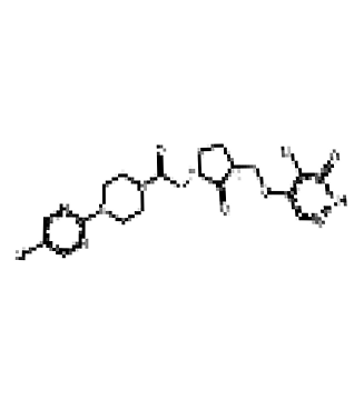 O=C1[C@H](COc2cn[nH]c(=O)c2Cl)CC[C@H]1CC(=O)N1CCN(c2ncc(Cl)cn2)CC1